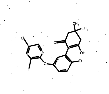 CCc1ccc(Oc2ncc(Cl)cc2F)cc1C1=C(O)CC(C)(C)CC1=O